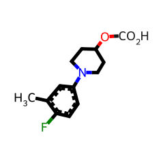 Cc1cc(N2CCC(OC(=O)O)CC2)ccc1F